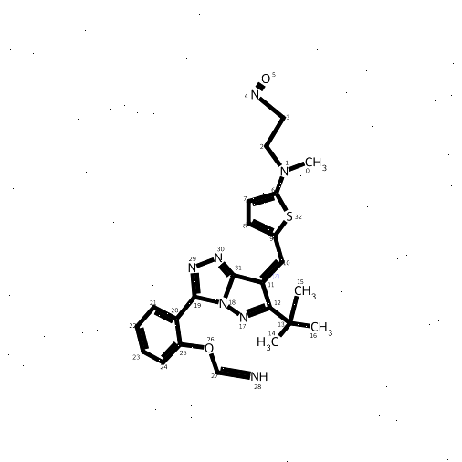 CN(CCN=O)c1ccc(/C=c2/c(C(C)(C)C)nn3c(-c4ccccc4OC=N)nnc23)s1